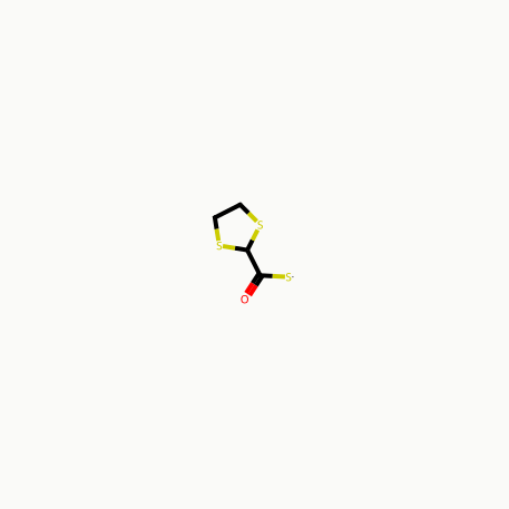 O=C([S])C1SCCS1